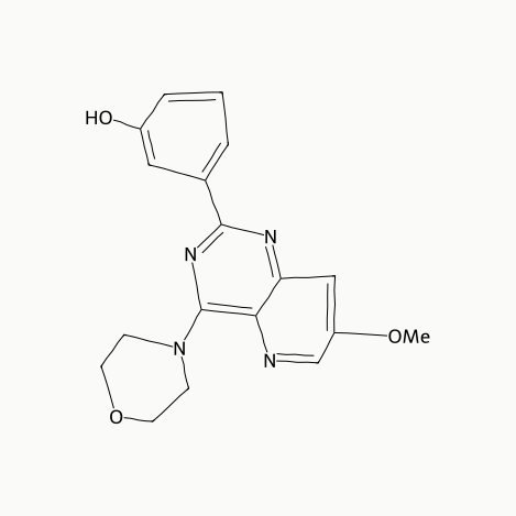 COc1cnc2c(N3CCOCC3)nc(-c3cccc(O)c3)nc2c1